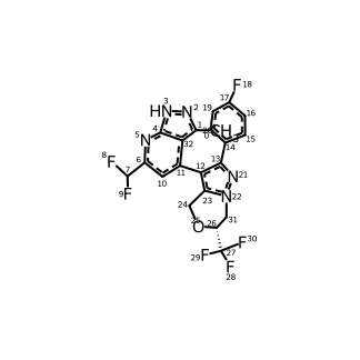 Cc1n[nH]c2nc(C(F)F)cc(-c3c(-c4ccc(F)cc4)nn4c3CO[C@@H](C(F)(F)F)C4)c12